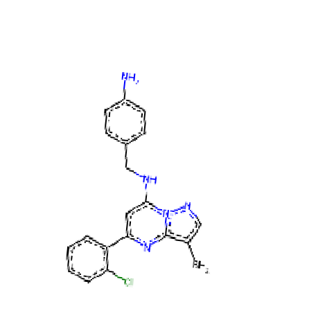 Bc1cnn2c(NCc3ccc(N)cc3)cc(-c3ccccc3Cl)nc12